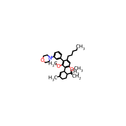 C=C(C)C1CCC(C)=CC1c1c(OC)cc(CCCCC)c(-c2cccc(N3CCOCC3)c2)c1OC